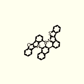 c1ccc2c3c4c(cc2c1)-c1cccc2c5c6ccccc6sc5n(c12)B4c1cccc2c4oc5ccccc5c4n-3c12